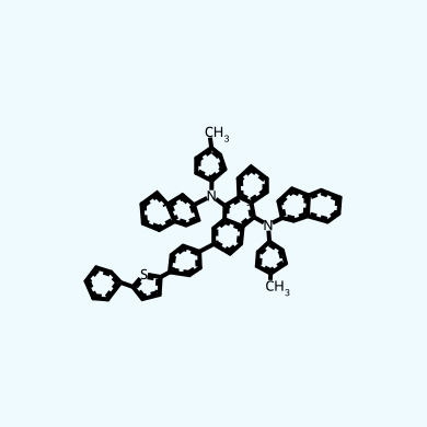 Cc1ccc(N(c2ccc3ccccc3c2)c2c3ccccc3c(N(c3ccc(C)cc3)c3ccc4ccccc4c3)c3cc(-c4ccc(-c5ccc(-c6ccccc6)s5)cc4)ccc23)cc1